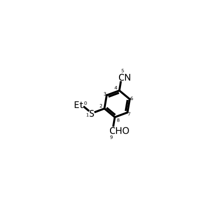 CCSc1cc(C#N)ccc1C=O